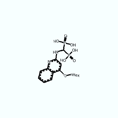 CCCCCCOc1cc(NC(P(=O)(O)O)P(=O)(O)O)nc2ccccc12